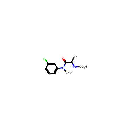 CC(C)C(NC(=O)O)C(=O)N(C=O)c1cccc(Cl)c1